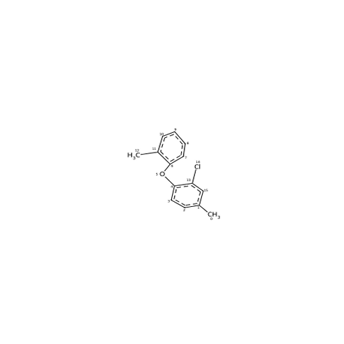 Cc1ccc(Oc2ccccc2C)c(Cl)c1